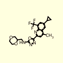 Cc1cc(-c2nnc(NCC3COCCO3)o2)nc2c(C(F)(F)F)cc(C3CC3)cc12